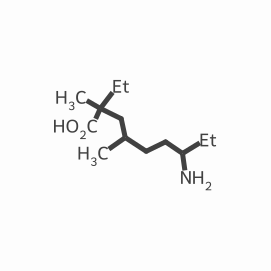 CCC(N)CCC(C)CC(C)(CC)C(=O)O